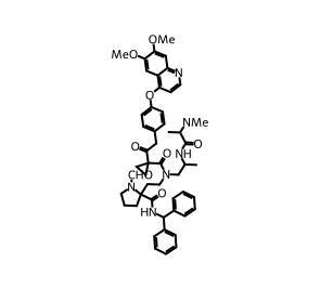 CNC(C)C(=O)NC(C)CN(CCC1(C(=O)NC(c2ccccc2)c2ccccc2)CCCN1C=O)C(=O)C1(C(=O)Cc2ccc(Oc3ccnc4cc(OC)c(OC)cc34)cc2)CC1